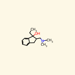 CCC1(O)c2ccccc2CC1CN(C)C